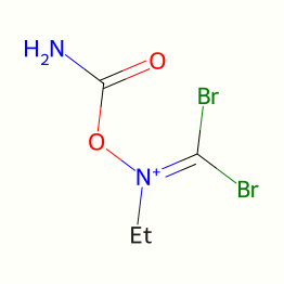 CC[N+](OC(N)=O)=C(Br)Br